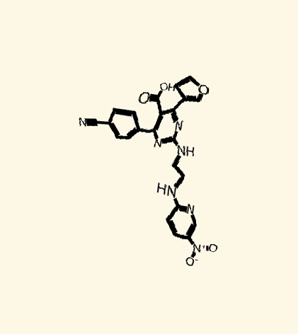 N#Cc1ccc(-c2nc(NCCNc3ccc([N+](=O)[O-])cn3)nc(-c3ccoc3)c2C(=O)O)cc1